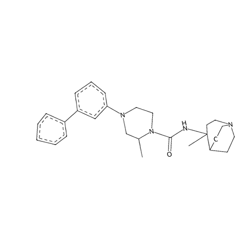 CC1CN(c2cccc(-c3ccccc3)c2)CCN1C(=O)NC1(C)CCN2CCC1CC2